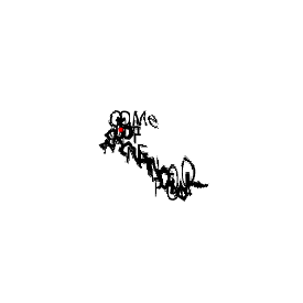 CC#CC(=O)N1CCC[C@H](S(=O)(=O)c2ccc(N3CC(F)(CN4CCC([C@@](CN5CCC5)(c5cccc(F)c5)[C@H]5CCC[C@@H]5NC(=O)OC)CC4)C3)c(F)c2)C1